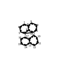 c1cc2c3c-2cccc3c1.c1ccc2ccccc2c1